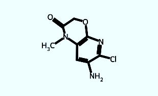 CN1C(=O)COc2nc(Cl)c(N)cc21